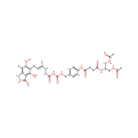 COc1c(C)c2c(c(O)c1C/C=C(\C)CCC(=O)OC(=O)OCc1ccc(OC(=O)CCC(=O)OC(COC(C)=O)COC(C)=O)cc1)C(=O)OC2